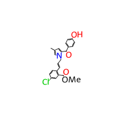 COC(=O)c1cc(Cl)ccc1C=CCn1cc(C)cc1C(=O)c1ccc(O)cc1